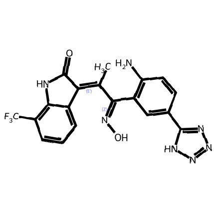 CC(/C(=N/O)c1cc(-c2nnn[nH]2)ccc1N)=C1\C(=O)Nc2c1cccc2C(F)(F)F